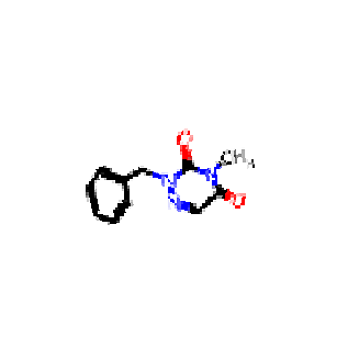 Cn1c(=O)cnn(Cc2ccccc2)c1=O